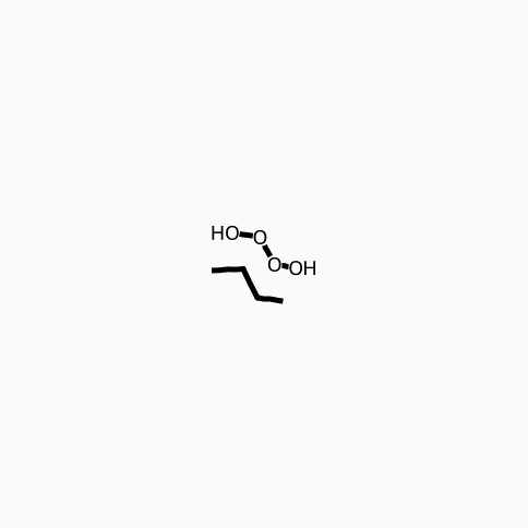 CCCC.OOOO